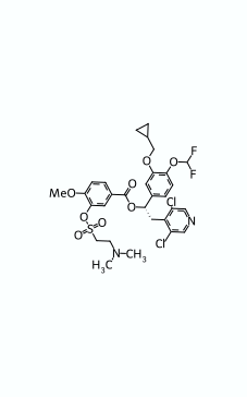 COc1ccc(C(=O)O[C@@H](Cc2c(Cl)cncc2Cl)c2ccc(OC(F)F)c(OCC3CC3)c2)cc1OS(=O)(=O)CCN(C)C